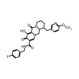 COc1ccc(CN2CCCN3C(=O)c4c(O)c(=O)c(C(=O)NCc5ccc(F)cc5)cn4CC23)cn1